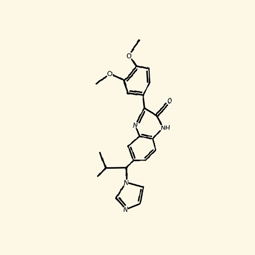 COc1ccc(-c2nc3cc(C(C(C)C)n4ccnc4)ccc3[nH]c2=O)cc1OC